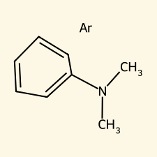 CN(C)c1ccccc1.[Ar]